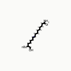 CCCCC(CO)CCCC/C=C/CCCCCCCC(N)=O